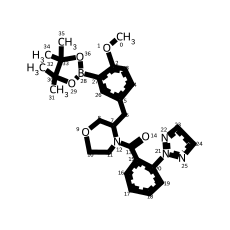 COc1ccc(CC2COCCN2C(=O)c2ccccc2-n2nccn2)cc1B1OC(C)(C)C(C)(C)O1